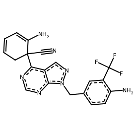 N#CC1(c2ncnc3c2cnn3Cc2ccc(N)c(C(F)(F)F)c2)CC=CC=C1N